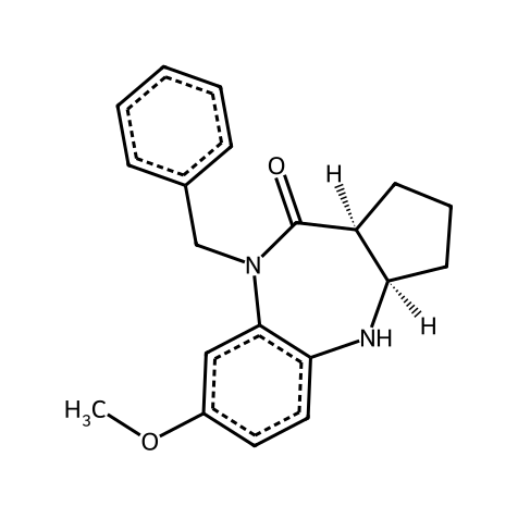 COc1ccc2c(c1)N(Cc1ccccc1)C(=O)[C@H]1CCC[C@H]1N2